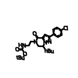 CCCCC1CN(CCNC(=O)OC(C)(C)C)C(=O)c2cc(-c3ccc(Cl)cc3)nn21